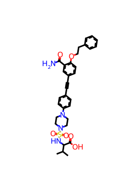 CC(C)C(NS(=O)(=O)N1CCN(c2ccc(C#Cc3ccc(OCCc4ccccc4)c(C(N)=O)c3)cc2)CC1)C(=O)O